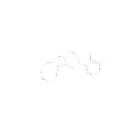 Clc1cccc(-c2ccc3c(c2)N2CCNCCC2C3)c1Cl